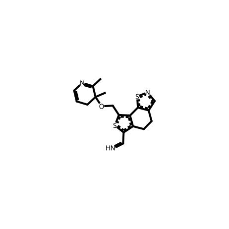 CC1=NC=CCC1(C)OCc1sc(C=N)c2c1-c1sncc1CC2